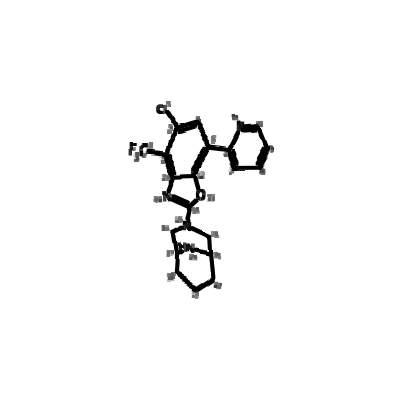 FC(F)(F)c1c(Cl)cc(-c2ccccn2)c2oc(N3CC4CCCC(C3)N4)nc12